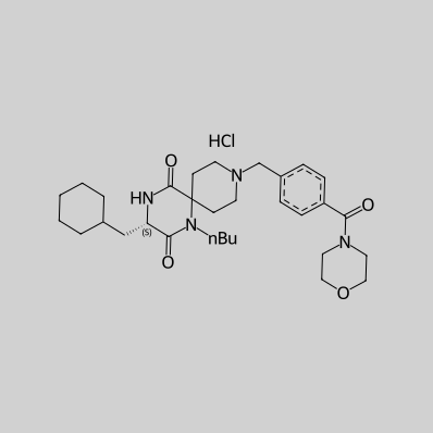 CCCCN1C(=O)[C@H](CC2CCCCC2)NC(=O)C12CCN(Cc1ccc(C(=O)N3CCOCC3)cc1)CC2.Cl